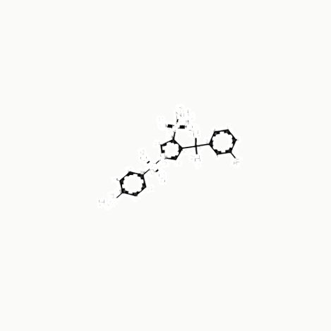 [2H]C([2H])(c1cccc(F)c1)c1cn(S(=O)(=O)c2ccc(C)cc2)cc1S(N)(=O)=O